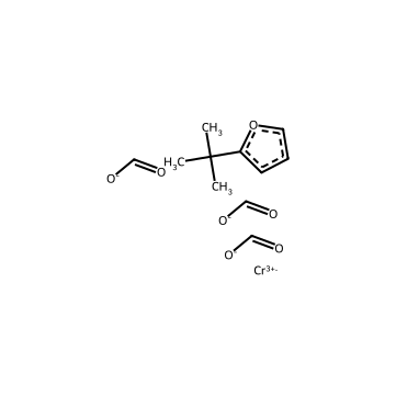 CC(C)(C)c1ccco1.O=C[O-].O=C[O-].O=C[O-].[Cr+3]